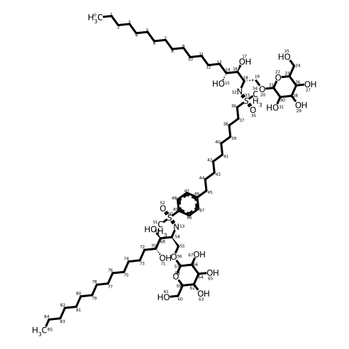 CCCCCCCCCCCCCC[C@@H](O)[C@@H](O)[C@H](COC1OC(CO)C(O)C(O)C1O)N=S(C)(=O)CCCCCCCCCCc1ccc(S(C)(=O)=N[C@@H](COC2OC(CO)C(O)C(O)C2O)[C@H](O)[C@H](O)CCCCCCCCCCCCCC)cc1